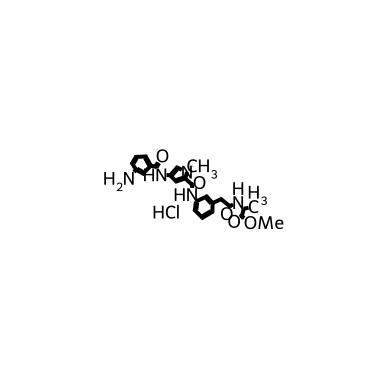 COC(=O)C(C)NC(=O)Cc1cccc(NC(=O)c2cc(NC(=O)c3cccc(N)c3)cn2C)c1.Cl